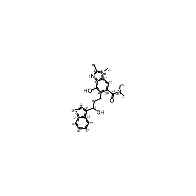 Cc1nc2c(O)c(CCC(O)c3csc4ccccc34)c(C(=O)N(C)C)cc2n1C